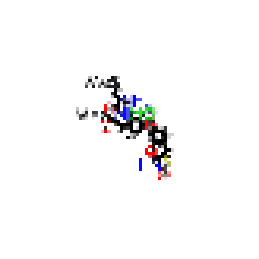 COC(=O)C(Cc1ccc(Oc2ccc(CC3SC(=O)NC3=O)cc2)cc1)NC(=O)C(N)CCSC.Cl